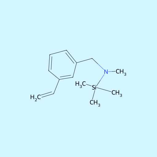 C=Cc1cccc(CN(C)[Si](C)(C)C)c1